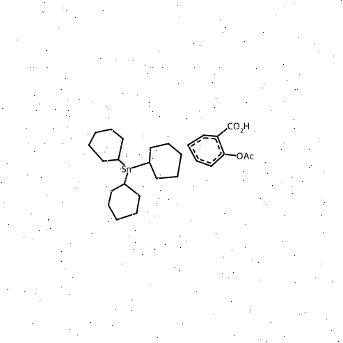 C1CC[CH]([Sn]([CH]2CCCCC2)[CH]2CCCCC2)CC1.CC(=O)Oc1ccccc1C(=O)O